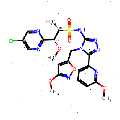 COc1cc(Cn2c(NS(=O)(=O)[C@@H](C)[C@H](OC)c3ncc(Cl)cn3)nnc2-c2cccc(OC)n2)on1